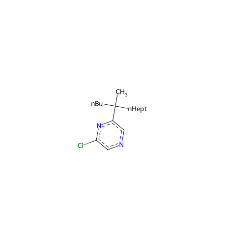 CCCCCCCC(C)(CCCC)c1cncc(Cl)n1